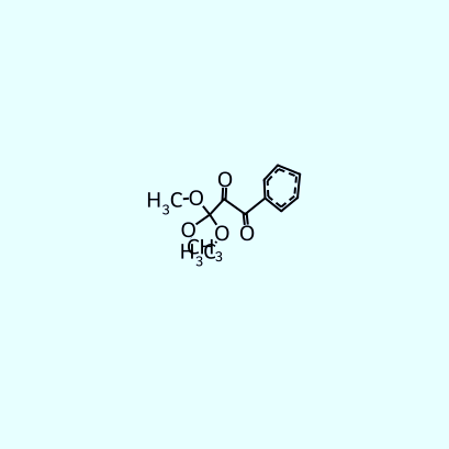 COC(OC)(OC)C(=O)C(=O)c1ccccc1